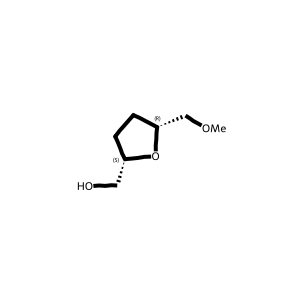 COC[C@H]1CC[C@@H](CO)O1